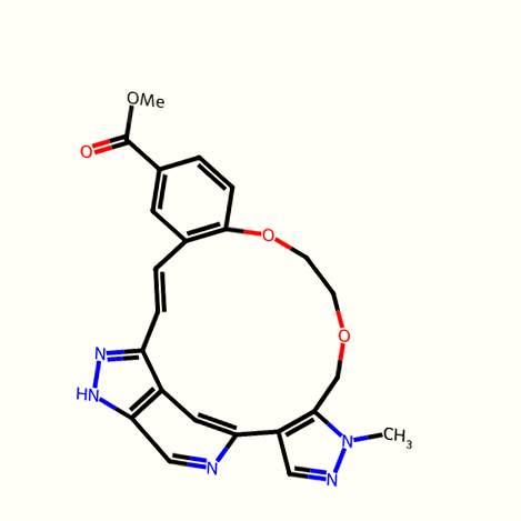 COC(=O)c1ccc2c(c1)/C=C/c1n[nH]c3cnc(cc13)-c1cnn(C)c1COCCO2